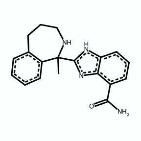 CC1(c2nc3c(C(N)=O)cccc3[nH]2)NCCCc2ccccc21